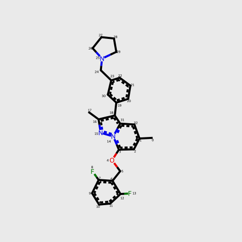 Cc1cc(OCc2c(F)cccc2F)n2nc(C)c(-c3cccc(CN4CCCC4)c3)c2c1